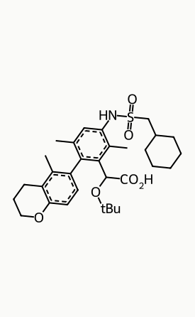 Cc1cc(NS(=O)(=O)CC2CCCCC2)c(C)c(C(OC(C)(C)C)C(=O)O)c1-c1ccc2c(c1C)CCCO2